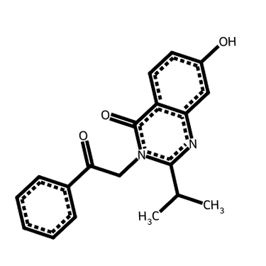 CC(C)c1nc2cc(O)ccc2c(=O)n1CC(=O)c1ccccc1